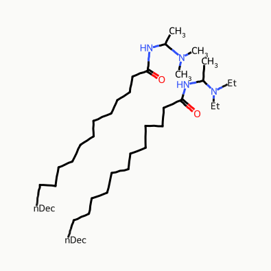 CCCCCCCCCCCCCCCCCCCCCC(=O)NC(C)N(C)C.CCCCCCCCCCCCCCCCCCCCCC(=O)NC(C)N(CC)CC